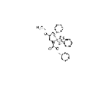 CCOC(=O)CN(C(=O)OCc1ccccc1)C([PH2]=S)(Sc1ccccc1)Sc1ccccc1